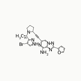 C[C@H](c1n[nH]cc1Br)N1CCCC1C#Cc1cn2nc(-c3ccco3)nc2c(N)n1